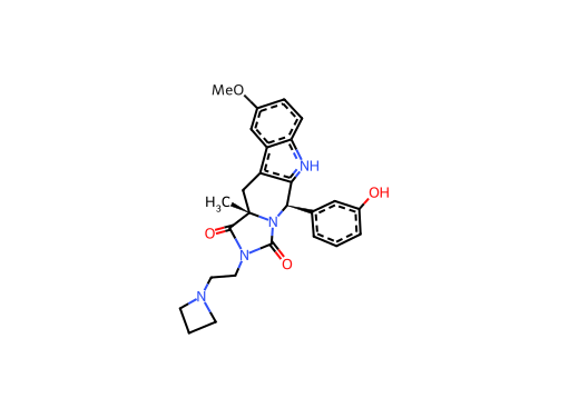 COc1ccc2[nH]c3c(c2c1)C[C@@]1(C)C(=O)N(CCN2CCC2)C(=O)N1[C@@H]3c1cccc(O)c1